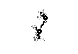 CCCc1c(OCCCCOc2cccc(C3(C)SC(=O)NC3=O)c2)ccc2c(CC(C)(C)C)coc12